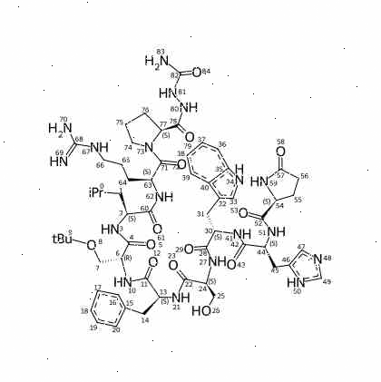 CC(C)C[C@H](NC(=O)[C@@H](COC(C)(C)C)NC(=O)[C@H](Cc1ccccc1)NC(=O)[C@H](CO)NC(=O)[C@H](Cc1c[nH]c2ccccc12)NC(=O)[C@H](Cc1cnc[nH]1)NC(=O)[C@@H]1CCC(=O)N1)C(=O)N[C@@H](CCCNC(=N)N)C(=O)N1CCC[C@H]1C(=O)NNC(N)=O